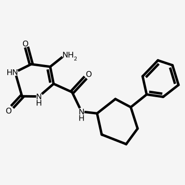 Nc1c(C(=O)NC2CCCC(c3ccccc3)C2)[nH]c(=O)[nH]c1=O